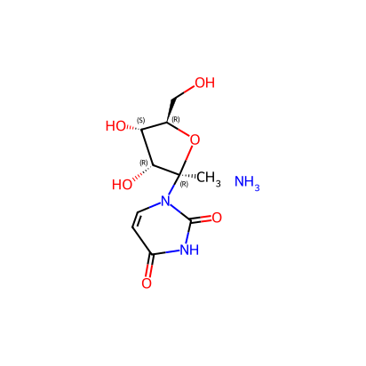 C[C@@]1(n2ccc(=O)[nH]c2=O)O[C@H](CO)[C@@H](O)[C@H]1O.N